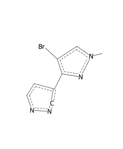 Cn1cc(Br)c(-c2ccnnc2)n1